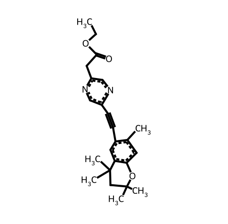 CCOC(=O)Cc1cnc(C#Cc2cc3c(cc2C)OC(C)(C)CC3(C)C)cn1